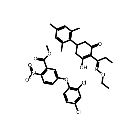 CCO/N=C(\CC)C1=C(O)CC(c2c(C)cc(C)cc2C)CC1=O.COC(=O)c1cc(Oc2ccc(Cl)cc2Cl)ccc1[N+](=O)[O-]